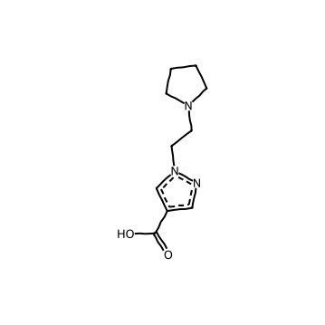 O=C(O)c1cnn(CCN2CCCC2)c1